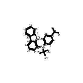 CC(C)c1ccc(N(c2cccc3c2oc2ccccc23)C(C)(C)C)cc1